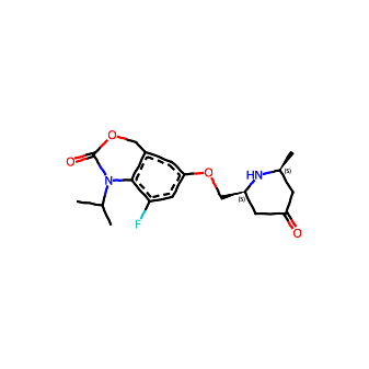 CC(C)N1C(=O)OCc2cc(OC[C@@H]3CC(=O)C[C@H](C)N3)cc(F)c21